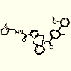 COc1ccccc1-c1ccc(C(=O)N2Cc3ccc(C(=O)NCCC4CCCN4C)n3Cc3ccccc32)cc1C